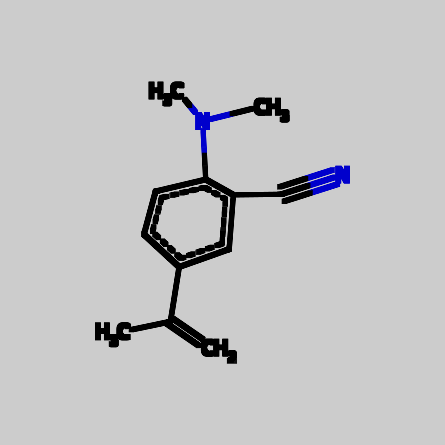 C=C(C)c1ccc(N(C)C)c(C#N)c1